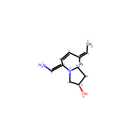 C\C=C(/C=C\C(=C/N)N1CC[C@@H](O)C1)C(C)C